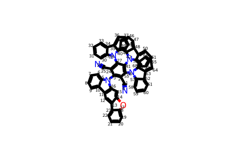 N#Cc1c(-n2c3ccccc3c3cc4c(cc32)oc2ccccc24)c(C#N)c(-n2c3ccccc3c3ccccc32)c(-n2c3ccccc3c3ccccc32)c1-n1c2ccccc2c2ccccc21